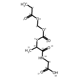 CCC(=O)OCOC(=O)SC(C)C(=O)NCC(=O)O